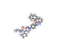 CCCNC(=O)C(c1ccccc1)C1CCN(c2ccc(NC(=O)c3ccccc3-c3ccc4ccccc4c3)cc2)CC1